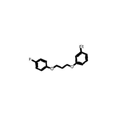 [CH2]Cc1cccc(OCCCOc2ccc(F)cc2)c1